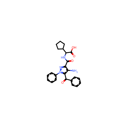 Nc1c(C(=O)NC(C(=O)O)C2CCCC2)nn(-c2ccccc2)c1C(=O)c1ccccc1